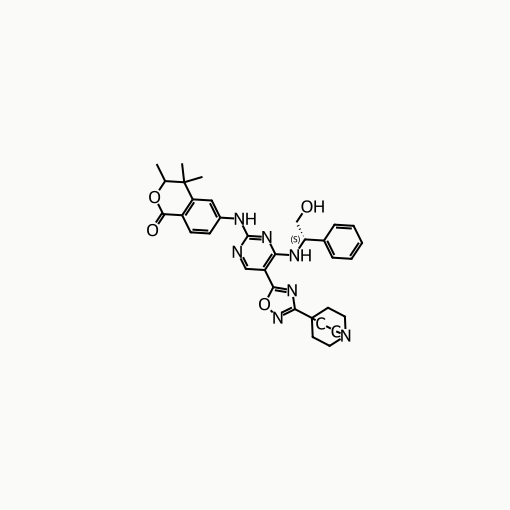 CC1OC(=O)c2ccc(Nc3ncc(-c4nc(C56CCN(CC5)CC6)no4)c(N[C@H](CO)c4ccccc4)n3)cc2C1(C)C